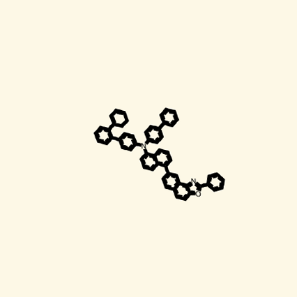 C1=CCCC(c2ccccc2-c2ccc(N(c3ccc(-c4ccccc4)cc3)c3cccc4c(-c5ccc6ccc7oc(-c8ccccc8)nc7c6c5)cccc34)cc2)=C1